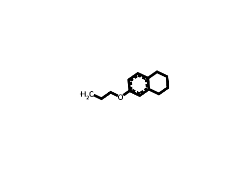 [CH2]CCOc1ccc2c(c1)CCCC2